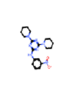 O=[N+]([O-])c1cccc(Nc2nc(N3CCCCC3)nc(N3CCCCC3)n2)c1